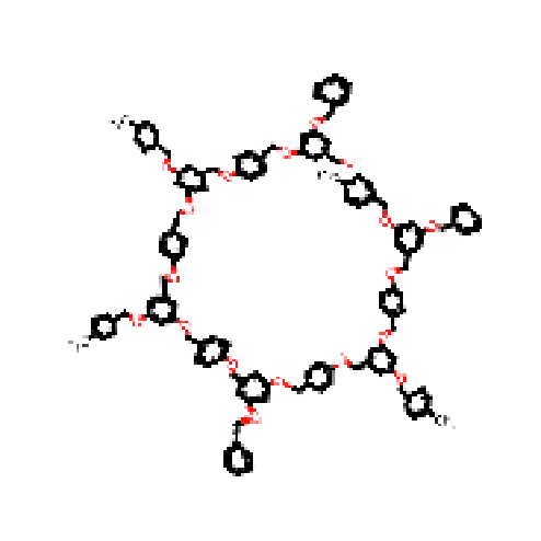 Cc1ccc(COc2cc(COc3ccc(COc4cc(COc5ccc(COc6cc(COc7ccc(COc8cc(COc9ccc(COc%10cc(COc%11ccc(COc%12cc(CO)cc(OCc%13ccccc%13)c%12)cc%11)cc(OCc%11ccc(C)cc%11)c%10)cc9)cc(OCc9ccc(C)cc9)c8)cc7)cc(OCc7ccccc7)c6)cc5)cc(OCc5ccc(C)cc5)c4)cc3)cc(OCc3ccccc3)c2)cc1